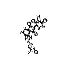 CC(C=O)OCCNc1cccc2c1C(=O)N(C1CCC(=O)NC1=O)C2=O